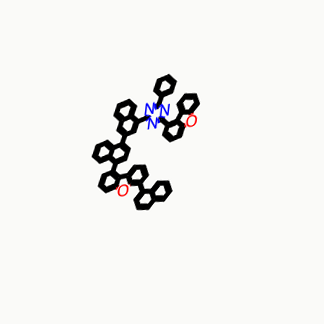 c1ccc(-c2nc(-c3cc(-c4ccc(-c5cccc6oc7c(-c8cccc9ccccc89)cccc7c56)c5ccccc45)cc4ccccc34)nc(-c3cccc4oc5ccccc5c34)n2)cc1